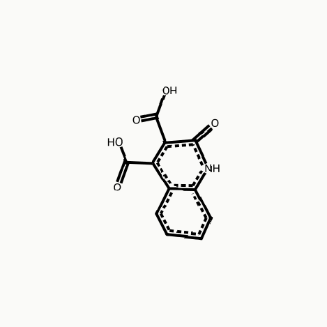 O=C(O)c1c(C(=O)O)c2ccccc2[nH]c1=O